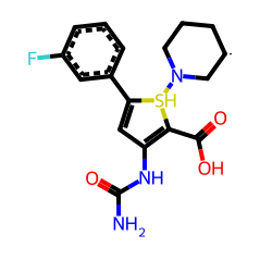 NC(=O)NC1=C(C(=O)O)[SH](N2C[CH]CCC2)C(c2cccc(F)c2)=C1